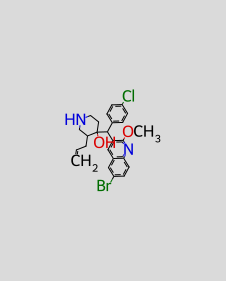 C=CCC1CNCCC1(O)C(c1ccc(Cl)cc1)c1cc2cc(Br)ccc2nc1OC